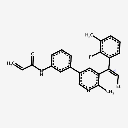 C=CC(=O)Nc1cccc(-c2cnc(C)c(/C(=C\CC)c3cccc(C)c3F)c2)c1